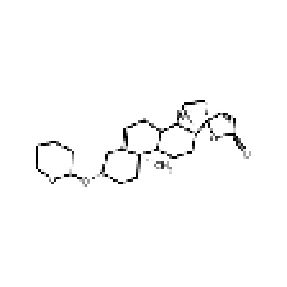 C[C@]12CC[C@H](OC3CCCCO3)CC1=CCC1C2CC[C@@]2(C)C1CC[C@@]21C=CC(=O)O1